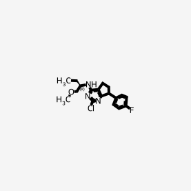 CC[C@H](COC)Nc1nc(Cl)nc2c1CCC2c1ccc(F)cc1